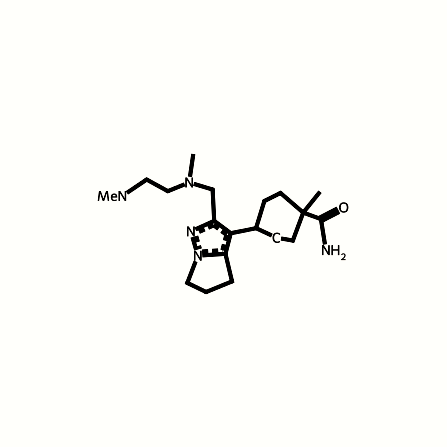 CNCCN(C)Cc1nn2c(c1C1CCC(C)(C(N)=O)CC1)CCC2